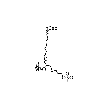 CCCCCCCCCCCCCCCCCCOCC(CSCCCOS(C)(=O)=O)OC.CN(C)C